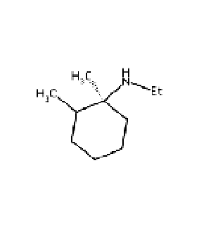 CCN[C@@]1(C)CCCCC1C